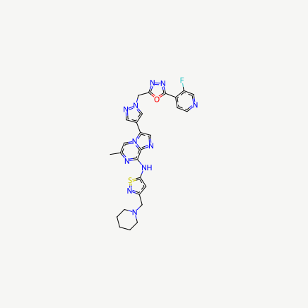 Cc1cn2c(-c3cnn(Cc4nnc(-c5ccncc5F)o4)c3)cnc2c(Nc2cc(CN3CCCCC3)ns2)n1